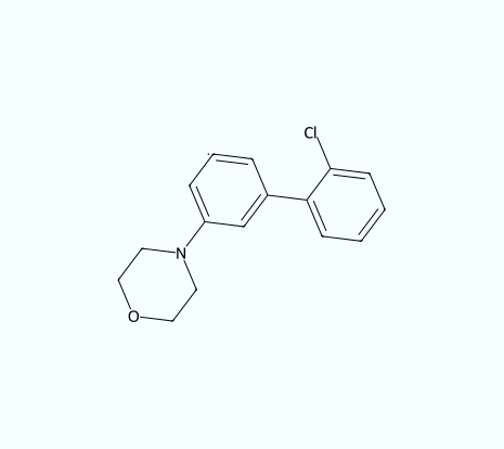 Clc1ccccc1-c1c[c]cc(N2CCOCC2)c1